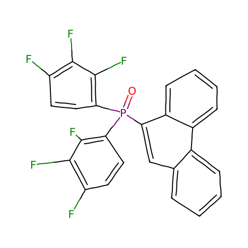 O=P(c1ccc(F)c(F)c1F)(c1ccc(F)c(F)c1F)c1cc2ccccc2c2ccccc12